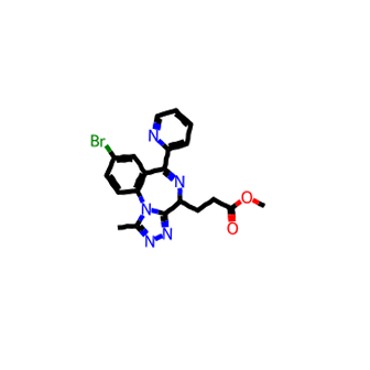 COC(=O)CCC1N=C(c2ccccn2)c2cc(Br)ccc2-n2c(C)nnc21